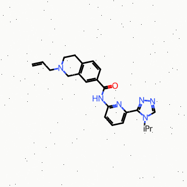 C=CCN1CCc2ccc(C(=O)Nc3cccc(-c4nncn4C(C)C)n3)cc2C1